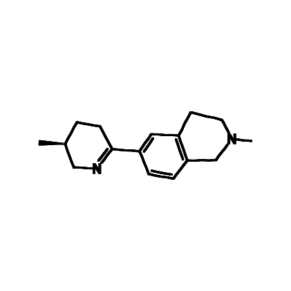 C[C@H]1CCC(c2ccc3c(c2)CCN(C)C3)=NC1